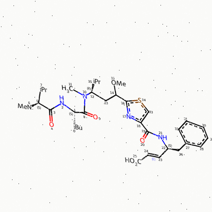 CCC(C)[C@H](NC(=O)[C@@H](NC)C(C)C)C(=O)N(C)[C@H](CC(OC)c1nc(C(=O)N[C@H](/C=C/C(=O)O)Cc2ccccc2)cs1)C(C)C